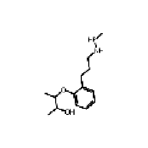 CPNCCCc1ccccc1OC(C)C(C)O